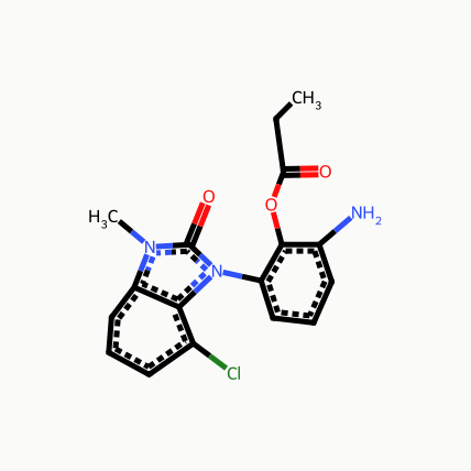 CCC(=O)Oc1c(N)cccc1-n1c(=O)n(C)c2cccc(Cl)c21